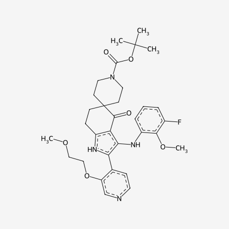 COCCOc1cnccc1-c1[nH]c2c(c1Nc1cccc(F)c1OC)C(=O)C1(CC2)CCN(C(=O)OC(C)(C)C)CC1